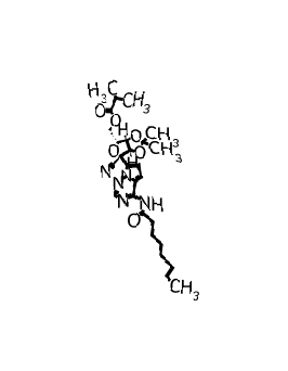 CCCCCCCC(=O)Nc1ncnn2c([C@]3(C#N)O[C@H](COC(=O)C(C)C)[C@H]4OC(C)(C)O[C@H]43)ccc12